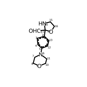 O=CC1(c2ccc(N3CCOCC3)cc2)NCCO1